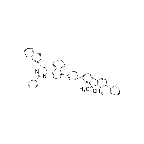 CC1(C)c2cc(-c3ccccc3)ccc2-c2ccc(-c3ccc(-c4ccc(-c5cc(-c6ccc7ccccc7c6)nc(-c6ccccc6)n5)c5ccccc45)cc3)cc21